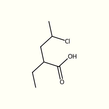 CCC(CC(C)Cl)C(=O)O